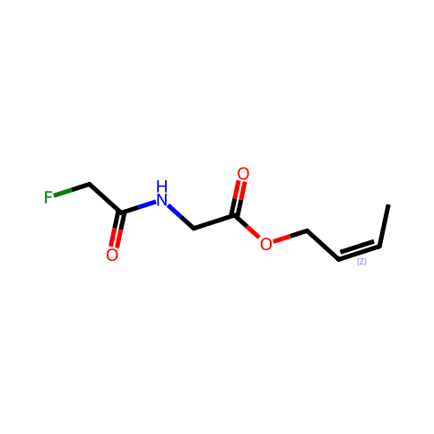 C/C=C\COC(=O)CNC(=O)CF